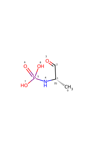 C[C@@H]([C]=O)NP(=O)(O)O